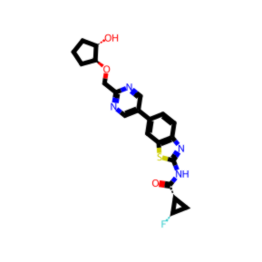 O=C(Nc1nc2ccc(-c3cnc(CO[C@H]4CCC[C@@H]4O)nc3)cc2s1)[C@@H]1C[C@@H]1F